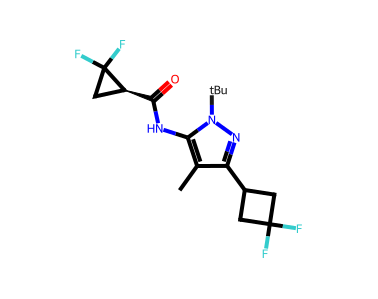 Cc1c(C2CC(F)(F)C2)nn(C(C)(C)C)c1NC(=O)[C@H]1CC1(F)F